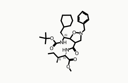 CC[C@H](C)[C@H](NC(=O)C1CN(Cc2ccccc2)OC1[C@H](CC1CCCCC1)NC(=O)OC(C)(C)C)C(=O)OC